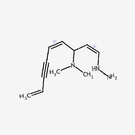 C=CC#C/C=C\C(/C=C\NN)N(C)C